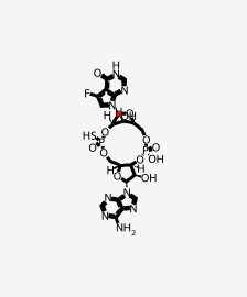 Nc1ncnc2c1ncn2[C@@H]1O[C@@H]2COP(=O)(S)O[C@@H]3[C@H](O)C(COP(=O)(O)O[C@H]2[C@H]1O)O[C@H]3n1cc(F)c2c(=O)[nH]cnc21